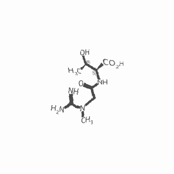 C[C@@H](O)[C@H](NC(=O)CN(C)C(=N)N)C(=O)O